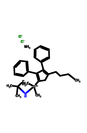 CCCCC1=C(c2ccccc2)C(c2ccccc2)=[C]([Ti+2]([CH3])([CH3])[NH]C(C)(C)C)C1.[Cl-].[Cl-].[SiH4]